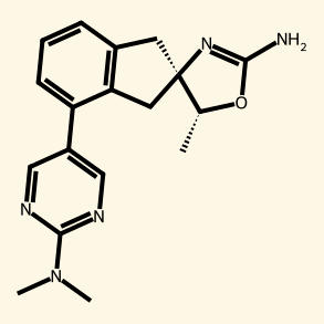 C[C@H]1OC(N)=N[C@@]12Cc1cccc(-c3cnc(N(C)C)nc3)c1C2